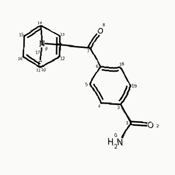 NC(=O)c1ccc(C(=O)N2Cc3ccc(cc3)C2)cc1